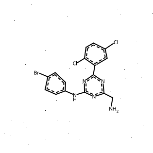 NCc1nc(Nc2ccc(Br)cc2)nc(-c2cc(Cl)ccc2Cl)n1